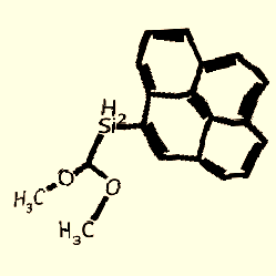 COC(OC)[SiH2]c1cc2cccc3ccc4cccc1c4c32